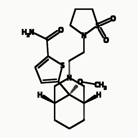 CO[C@@]1(c2ccc(C(N)=O)s2)[C@@H]2CCC[C@H]1CN(CCN1CCCS1(=O)=O)C2